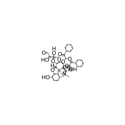 CN1CC[C@]23c4c5ccc(O)c4O[C@H]2C(O[C@@](O)(C(=O)O[C@H](C(=O)O[C@H](C(=O)O)c2ccccc2)c2ccccc2)[C@H](O)C=O)=CC[C@@]3(O)[C@H]1C5